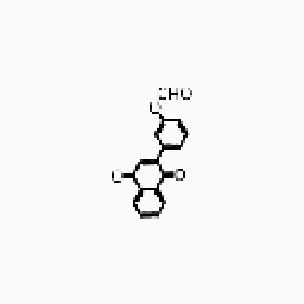 O=COc1cccc(C2=CC(=O)c3ccccc3C2=O)c1